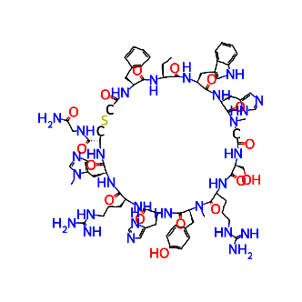 CC[C@@H]1NC(=O)[C@H](Cc2ccccc2)NC(=O)CSC[C@@H](C(=O)NCC(N)=O)NC(=O)[C@H](Cc2cncn2C)NC(=O)[C@H](CCCNC(=N)N)NC(=O)C(Cc2cnc[nH]2)NC(=O)[C@H](Cc2ccc(O)cc2)N(C)C(=O)C(CCCNC(=N)N)NC(=O)[C@H](CO)NC(=O)CN(C)C(=O)[C@H](Cc2cnc[nH]2)NC(=O)[C@H](Cc2c[nH]c3ccccc23)NC1=O